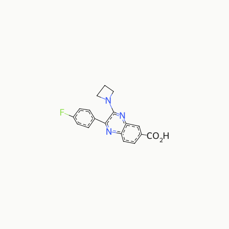 O=C(O)c1ccc2nc(-c3ccc(F)cc3)c(N3CCC3)nc2c1